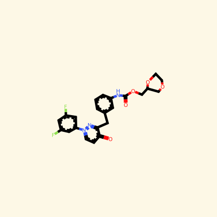 O=C(Nc1cccc(Cc2nn(-c3cc(F)cc(F)c3)ccc2=O)c1)OCC1COCCO1